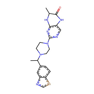 CC1Nc2nc(N3CCN(C(C)c4ccc5scnc5c4)CC3)ncc2NC1=O